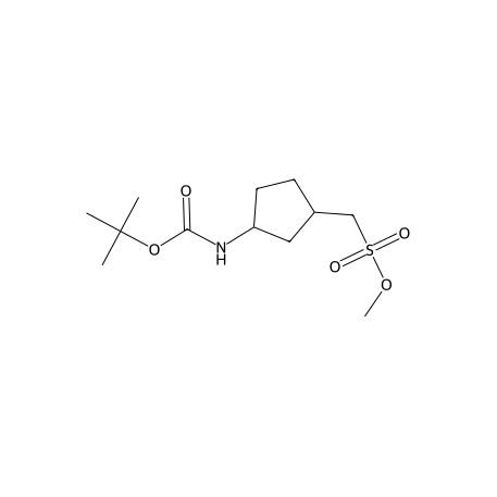 COS(=O)(=O)CC1CCC(NC(=O)OC(C)(C)C)C1